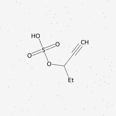 C#CC(CC)OS(=O)(=O)O